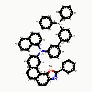 c1ccc(-c2nc3ccc4ccc5ccc(N(c6cccc(-c7cccc([SiH](c8ccccc8)c8ccccc8)c7)c6)c6cccc7ccccc67)cc5c4c3o2)cc1